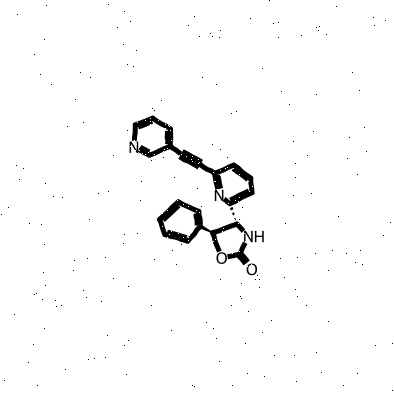 O=C1N[C@@H](c2cccc(C#Cc3cccnc3)n2)[C@H](c2ccccc2)O1